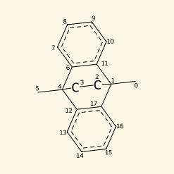 CC12CCC(C)(c3ccccc31)c1ccccc12